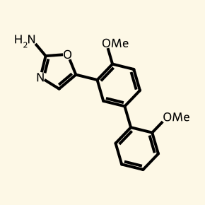 COc1ccccc1-c1ccc(OC)c(-c2cnc(N)o2)c1